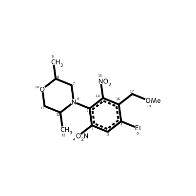 CCc1cc([N+](=O)[O-])c(N2CC(C)OCC2C)c([N+](=O)[O-])c1COC